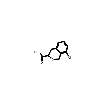 O=CC(=O)C1Cc2cccc(Cl)c2CO1